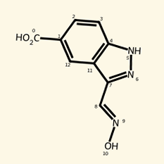 O=C(O)c1ccc2[nH]nc(C=NO)c2c1